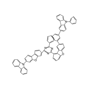 c1ccc(-c2nc(-c3ccc4c(c3)oc3cc(-n5c6ccccc6c6ccccc65)ccc34)nc(-c3cccc4oc5ccc(-c6cccc(-c7ccc8c(c7)c7ccccc7n8-c7ccccc7)c6)cc5c34)n2)cc1